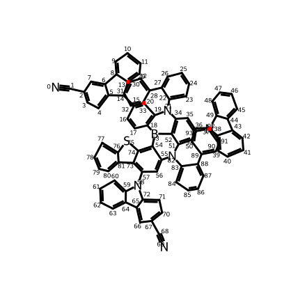 N#Cc1ccc2c(c1)-c1ccccc1C2c1ccc2c(c1)N(c1ccccc1-c1ccccc1)c1cc(-n3c4ccccc4c4ccccc43)cc3c1B2c1c(cc(-n2c4ccccc4c4cc(C#N)ccc42)c2c1sc1ccccc12)N3c1ccccc1-c1ccccc1